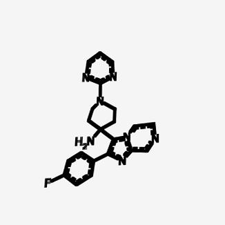 NC1(c2c(-c3ccc(F)cc3)nc3cnccn23)CCN(c2ncccn2)CC1